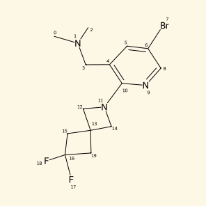 CN(C)Cc1cc(Br)cnc1N1CC2(C1)CC(F)(F)C2